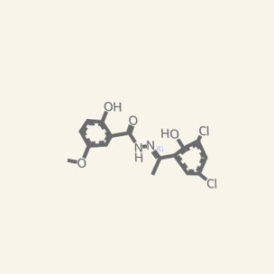 COc1ccc(O)c(C(=O)N/N=C(\C)c2cc(Cl)cc(Cl)c2O)c1